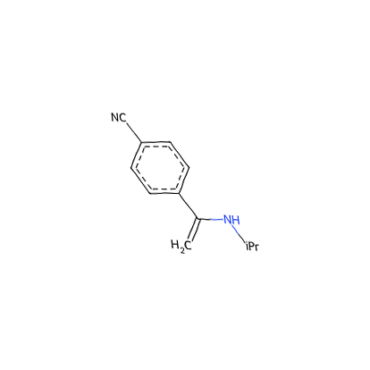 C=C(NC(C)C)c1ccc(C#N)cc1